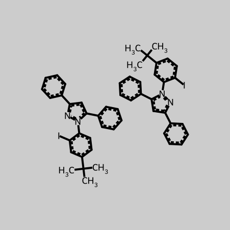 CC(C)(C)c1ccc(-n2nc(-c3ccccc3)cc2-c2ccccc2)c(I)c1.CC(C)(C)c1ccc(I)c(-n2nc(-c3ccccc3)cc2-c2ccccc2)c1